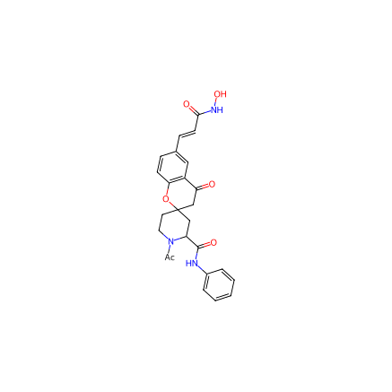 CC(=O)N1CCC2(CC(=O)c3cc(C=CC(=O)NO)ccc3O2)CC1C(=O)Nc1ccccc1